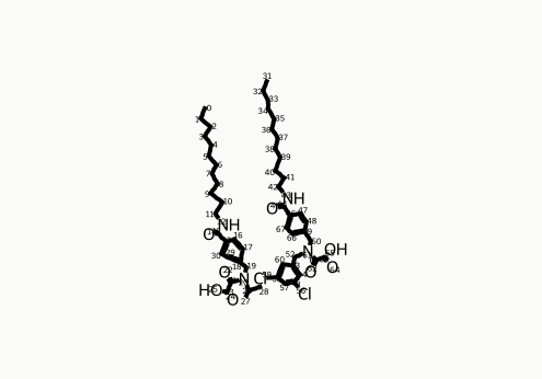 CCCCCCCCCCCCNC(=O)c1ccc(CN(C(=O)C(=O)O)C(C)C)cc1.CCCCCCCCCCCCNC(=O)c1ccc(CN(Cc2cc(Cl)cc(Cl)c2)C(=O)C(=O)O)cc1